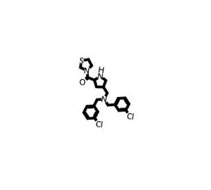 O=C(C1CC(CN(Cc2cccc(Cl)c2)Cc2cccc(Cl)c2)CN1)N1CCSC1